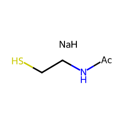 CC(=O)NCCS.[NaH]